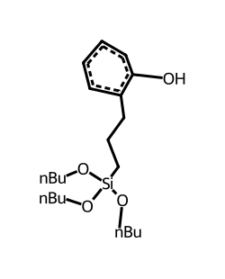 CCCCO[Si](CCCc1ccccc1O)(OCCCC)OCCCC